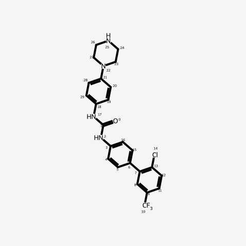 O=C(Nc1ccc(-c2cc(C(F)(F)F)ccc2Cl)cc1)Nc1ccc(N2CCNCC2)cc1